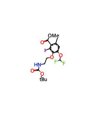 COC(=O)c1c(C)cc(OC(F)F)c(OCCNC(=O)OC(C)(C)C)c1I